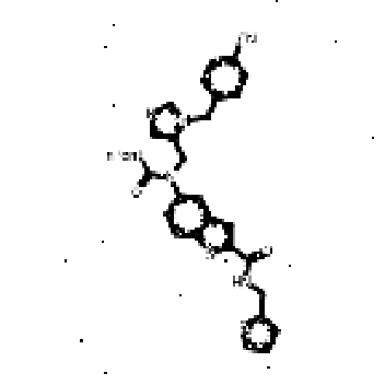 CCCCCC(=O)N(Cc1cncn1Cc1ccc(C#N)cc1)c1ccc2sc(C(=O)NCc3cccs3)cc2c1